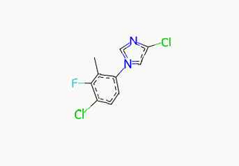 Cc1c(-n2cnc(Cl)c2)ccc(Cl)c1F